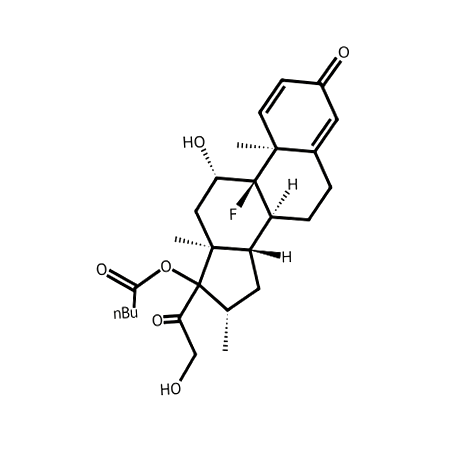 CCCCC(=O)OC1(C(=O)CO)[C@@H](C)C[C@H]2[C@@H]3CCC4=CC(=O)C=C[C@]4(C)[C@@]3(F)[C@@H](O)C[C@@]21C